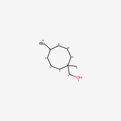 CC1(CO)CCCC(C(C)(C)C)CCC1